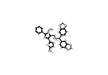 CCCCn1c(-c2ccccc2)nc(-c2ccc(C)s2)c1CNC(c1ccc2c(c1)OCO2)c1ccc2c(c1)OCO2